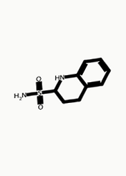 NS(=O)(=O)C1CCc2ccccc2N1